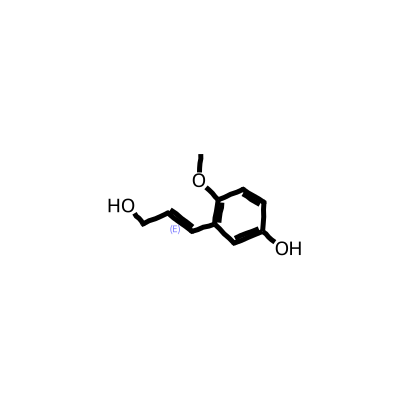 COc1ccc(O)cc1/C=C/CO